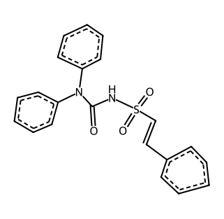 O=C(NS(=O)(=O)C=Cc1ccccc1)N(c1ccccc1)c1ccccc1